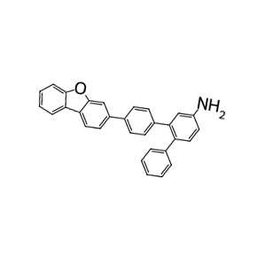 Nc1ccc(-c2ccccc2)c(-c2ccc(-c3ccc4c(c3)oc3ccccc34)cc2)c1